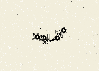 O=C(NCC#Cc1ccc2ncc(NC3CCCCC3)nc2c1)c1ccnn(Cc2ccc(F)c(F)c2)c1=O